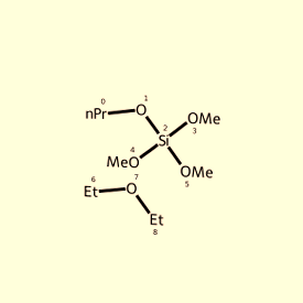 CCCO[Si](OC)(OC)OC.CCOCC